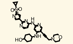 O=S(=O)(C1CC1)n1cc(-c2nccc(Nc3cc(NC4CCC(O)CC4)c(C#CCN4CCOCC4)cn3)n2)cn1